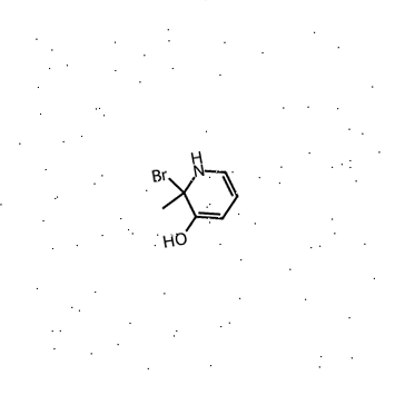 CC1(Br)NC=CC=C1O